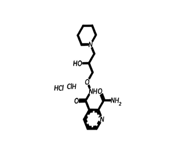 Cl.Cl.NC(=O)c1ncccc1C(=O)NOCC(O)CN1CCCCC1